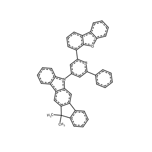 CC1(C)c2ccccc2-c2cc3c(cc21)c1ccccc1n3-c1cc(-c2ccccc2)nc(-c2cccc3c2oc2ccccc23)c1